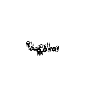 COCCN1CCC(COc2cc3ncnc(-c4ccc(NC(=O)Cc5ccc6c(c5)OCO6)c(F)c4)c3cc2OC)CC1